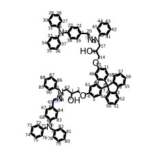 OC(COc1ccc(C2(c3ccc(OCC(O)CN(/N=C/c4ccc(N(c5ccccc5)c5ccccc5)cc4)c4ccccc4)cc3)c3ccccc3-c3ccccc32)cc1)CN(/N=C/c1ccc(N(c2ccccc2)c2ccccc2)cc1)c1ccccc1